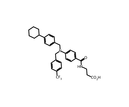 O=C(O)CCNC(=O)c1ccc(N(Cc2ccc(C3CCCCC3)cc2)Cc2ccc(C(F)(F)F)cc2)cc1